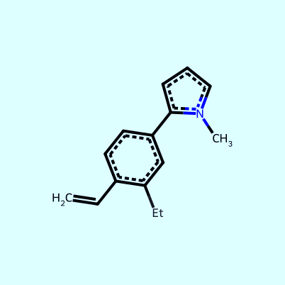 C=Cc1ccc(-c2cccn2C)cc1CC